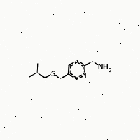 CC(C)CSCc1ccc(CN)nc1